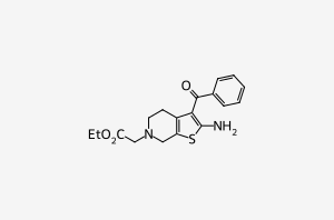 CCOC(=O)CN1CCc2c(sc(N)c2C(=O)c2ccccc2)C1